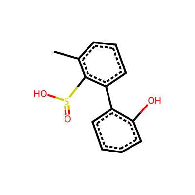 Cc1cccc(-c2ccccc2O)c1S(=O)O